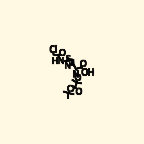 CC(C)(C)OC(=O)C(C)(C)O/N=C(\C(=O)O)c1csc(NC(=O)CCl)n1